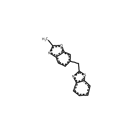 Cc1nc2ccc(Cc3nc4ccccc4s3)cc2o1